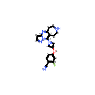 N#Cc1ccc(OC2CN(c3c4c(nc5ccnn35)CCNCC4)C2)cc1F